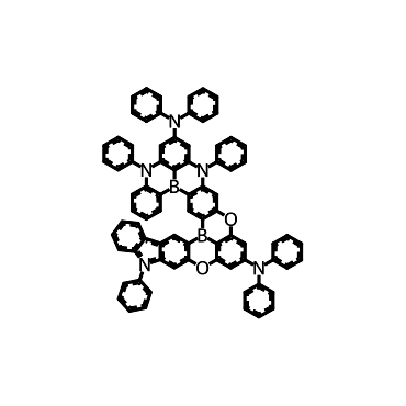 c1ccc(N(c2ccccc2)c2cc3c4c(c2)Oc2cc5c(cc2B4c2cc4c(cc2O3)N(c2ccccc2)c2cc(N(c3ccccc3)c3ccccc3)cc3c2B4c2ccccc2N3c2ccccc2)c2ccccc2n5-c2ccccc2)cc1